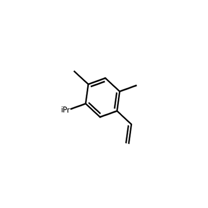 C=Cc1cc(C(C)C)c(C)cc1C